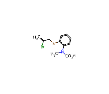 C=C(Br)CSc1ccccc1N(C)C(=O)O